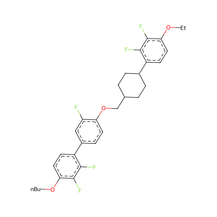 CCCCOc1ccc(-c2ccc(OCC3CCC(c4ccc(OCC)c(F)c4F)CC3)c(F)c2)c(F)c1F